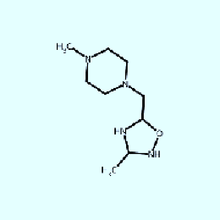 CC1NOC(CN2CCN(C)CC2)N1